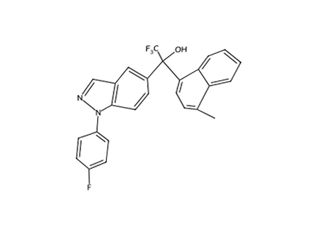 Cc1ccc(C(O)(c2ccc3c(cnn3-c3ccc(F)cc3)c2)C(F)(F)F)c2ccccc12